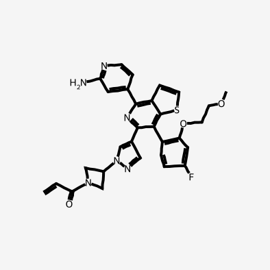 C=CC(=O)N1CC(n2cc(-c3nc(-c4ccnc(N)c4)c4ccsc4c3-c3ccc(F)cc3OCCOC)cn2)C1